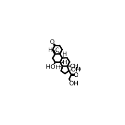 C[C@]12CCC(=O)C=C1CC(O)[C@@H]1[C@@H]2CC[C@@]2(C)[C@H]1CC[C@]2(O)C(=O)CO